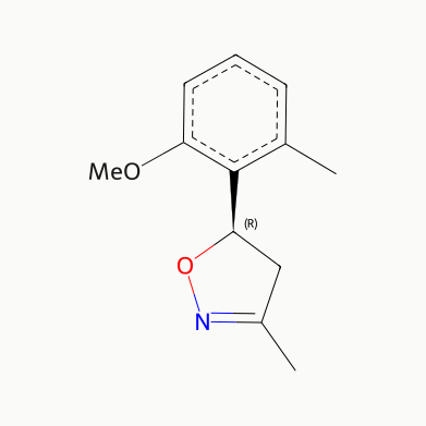 COc1cccc(C)c1[C@H]1CC(C)=NO1